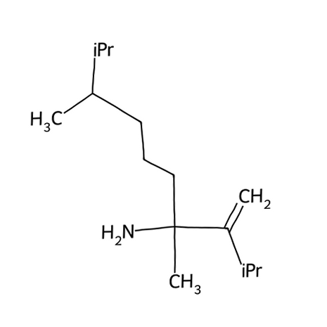 C=C(C(C)C)C(C)(N)CCCC(C)C(C)C